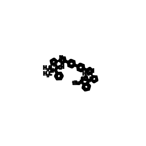 CN(C)[C@@H](C(=O)N1CCC[C@H]1c1ncc(-c2ccc(-c3ccc(-c4cnc([C@@H]5CCCN5C(=O)c5ccccc5N(C(=O)O)C(C)(C)C)[nH]4)cc3)cc2)[nH]1)c1ccccc1